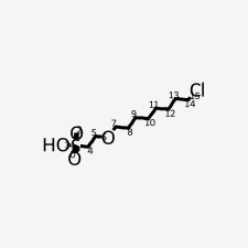 O=S(=O)(O)CCOCCCCCCCCCl